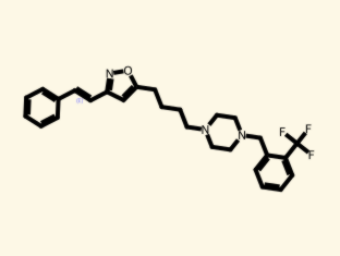 FC(F)(F)c1ccccc1CN1CCN(CCCCc2cc(/C=C/c3ccccc3)no2)CC1